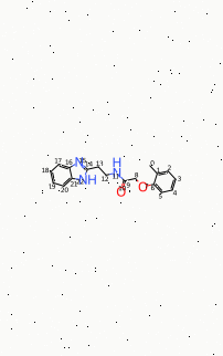 Cc1ccccc1OCC(=O)NCCc1nc2ccccc2[nH]1